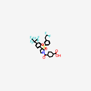 O=C(O)C1CCC(C(=O)N2CCC(c3ccc(C(F)(C(F)(F)F)C(F)(F)F)cc3)(S(=O)(=O)c3cccc(CC(F)F)c3)C2)CC1